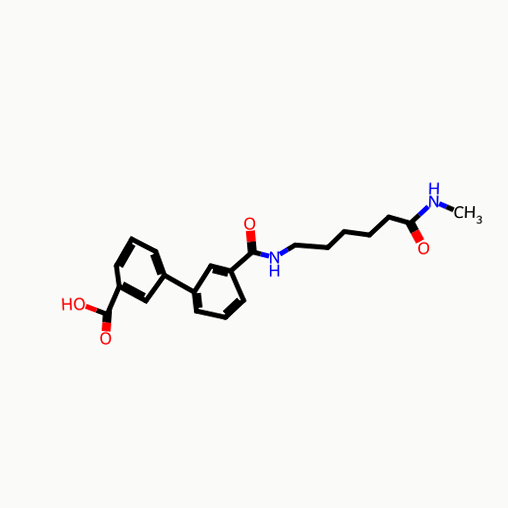 CNC(=O)CCCCCNC(=O)c1cccc(-c2cccc(C(=O)O)c2)c1